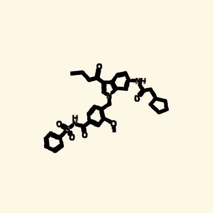 CCCC(=O)c1cn(Cc2ccc(C(=O)NS(=O)(=O)c3ccccc3)cc2OC)c2cc(NC(=O)CC3CCCC3)ccc12